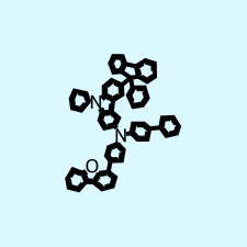 c1ccc(-c2ccc(N(c3ccc(-c4cccc5c4oc4ccccc45)cc3)c3ccc4c(c3)c3cc(C5(c6ccccc6)c6ccccc6-c6ccccc65)ccc3n4-c3ccccc3)cc2)cc1